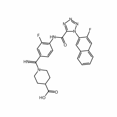 N=C(c1ccc(NC(=O)c2nnnn2-c2cc3ccccc3cc2F)c(F)c1)N1CCC(C(=O)O)CC1